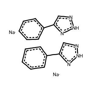 [Na].[Na].c1ccc(-c2cn[nH]n2)cc1.c1ccc(-c2cn[nH]n2)cc1